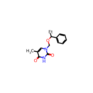 CCC(OCn1cc(C)c(=O)[nH]c1=O)c1ccccc1